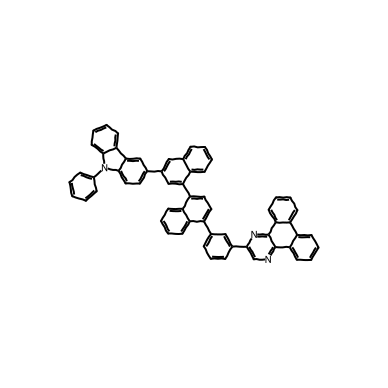 c1ccc(-n2c3ccccc3c3cc(-c4cc(-c5ccc(-c6cccc(-c7cnc8c9ccccc9c9ccccc9c8n7)c6)c6ccccc56)c5ccccc5c4)ccc32)cc1